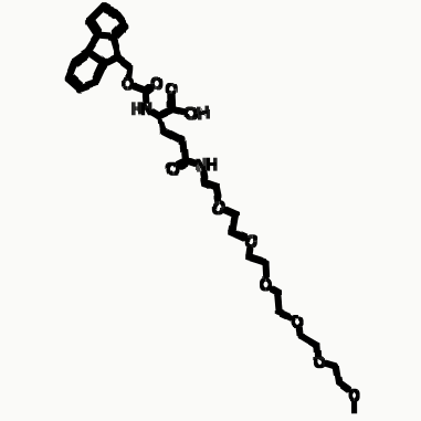 COCCOCCOCCOCCOCCOCCNC(=O)CC[C@@H](NC(=O)OCC1c2ccccc2-c2ccccc21)C(=O)O